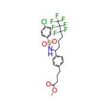 COC(=O)CCCc1ccc(C(CCCC(F)(F)C(F)(F)C(F)(F)F)NS(=O)(=O)c2ccc(Cl)cc2)cc1